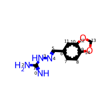 N=C(N)N/N=C/c1ccc2c(c1)OCO2